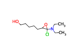 CCN(CC)C1(Cl)OC1CCCCCO